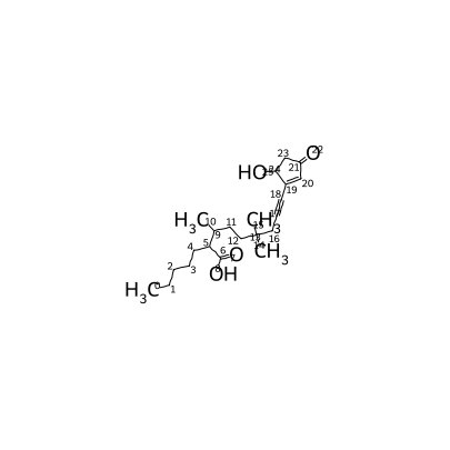 CCCCCC(C(=O)O)C(C)CCC(C)(C)CC#CC1=CC(=O)CC1O